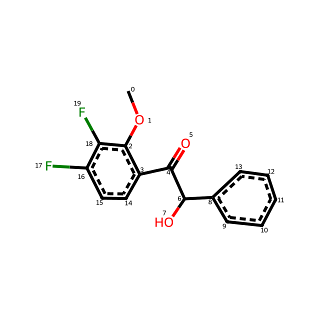 COc1c(C(=O)C(O)c2ccccc2)ccc(F)c1F